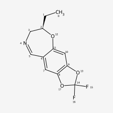 CC[C@@H]1CN=Cc2cc3c(cc2O1)OC(F)(F)O3